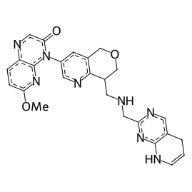 COc1ccc2ncc(=O)n(-c3cnc4c(c3)COCC4CNCc3ncc4c(n3)NC=CC4)c2n1